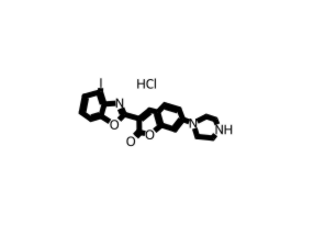 Cl.O=c1oc2cc(N3CCNCC3)ccc2cc1-c1nc2c(I)cccc2o1